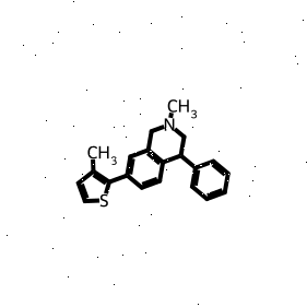 Cc1ccsc1-c1ccc2c(c1)CN(C)CC2c1ccccc1